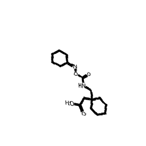 O=C(O)CC1(CNC(=O)ON=C2CCCCC2)CCCCC1